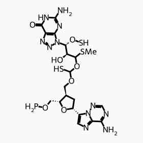 CSC(OC(S)OC[C@H]1C[C@H](c2cnc3c(N)ncnn23)O[C@@H]1COP)[C@@H](O)[C@@H](OS)n1nnc2c(=O)[nH]c(N)nc21